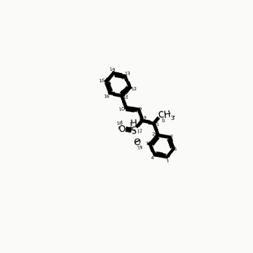 CC(c1ccccc1)C(C=Cc1ccccc1)[SH](=O)=O